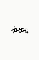 CCOC(=O)c1cc2c(cn1)C(C)N(c1cc(F)c(Cl)c(F)c1)CC2